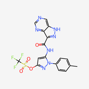 Cc1ccc(-n2nc(OS(=O)(=O)C(F)(F)F)cc2NC(=O)c2n[nH]c3cncnc23)cc1